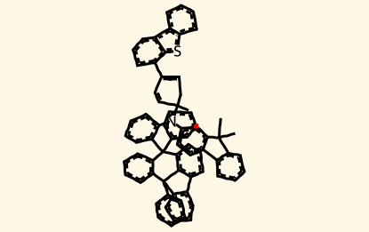 CC1(C)c2ccccc2-c2ccc(N(c3ccccc3C3(c4ccccc4)c4ccccc4C4(c5ccccc5)c5ccccc5-c5cccc3c54)C3(C)C=CC(c4cccc5c4sc4ccccc45)=CC3)cc21